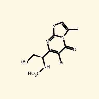 Cc1csc2nc([C@H](CC(C)(C)C)NC(=O)O)c(Br)c(=O)n12